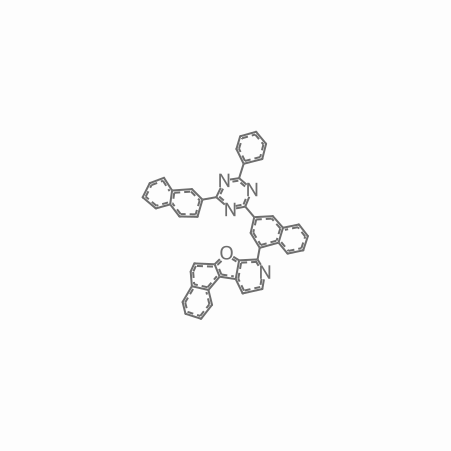 c1ccc(-c2nc(-c3ccc4ccccc4c3)nc(-c3cc(-c4nccc5c4oc4ccc6ccccc6c45)c4ccccc4c3)n2)cc1